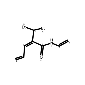 C=C/C=C(\C(=O)NC=C)C(CC)CC